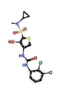 CN(C1CC1)S(=O)(=O)c1scc(NC(=O)Nc2cccc(Cl)c2Cl)c1O